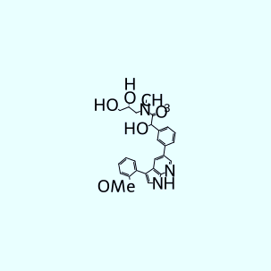 COc1ccccc1-c1c[nH]c2ncc(-c3cccc(C(O)C(=O)N(C)C[C@@H](O)CO)c3)cc12